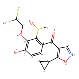 C[S+]([O-])c1c(C(=O)c2cnoc2C2CC2)ccc(Br)c1OCC(F)F